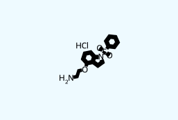 Cl.NCCOc1cccc2c1ccn2S(=O)(=O)c1ccccc1